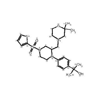 CC1(C)CN(CC2CN(S(=O)(=O)c3cccs3)CCN2c2ccc(C(C)(C)O)cc2)CCO1